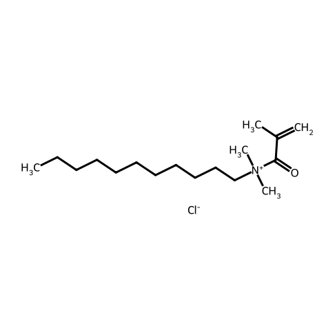 C=C(C)C(=O)[N+](C)(C)CCCCCCCCCCC.[Cl-]